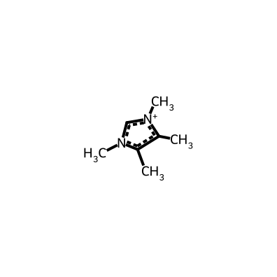 Cc1c(C)[n+](C)cn1C